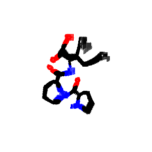 CC[C@H](C)[C@H](NC(=O)[C@@H]1CCCN1C(=O)[C@@H]1CCCN1)C(=O)O